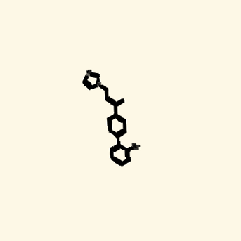 CC(=CCn1ccnc1)c1ccc(-c2ccccc2Br)cc1